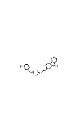 Fc1cccc(CN2CCN(CCCN3CCc4c([nH]c5ccccc45)C3)CC2)c1